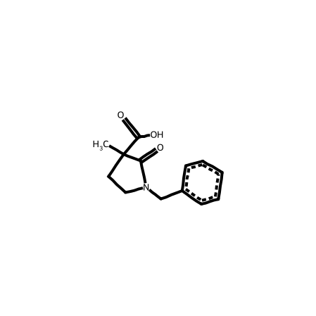 CC1(C(=O)O)CCN(Cc2ccccc2)C1=O